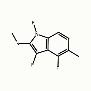 CSc1c(F)c2c(F)c(C)ccc2n1F